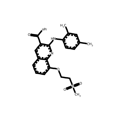 CCCC(=O)c1cc2cccc(OCCS(C)(=O)=O)c2nc1Nc1ccc(C)cc1C